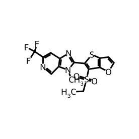 CCS(=O)(=O)c1c(-c2nc3cc(C(F)(F)F)ncc3n2C)sc2ccoc12